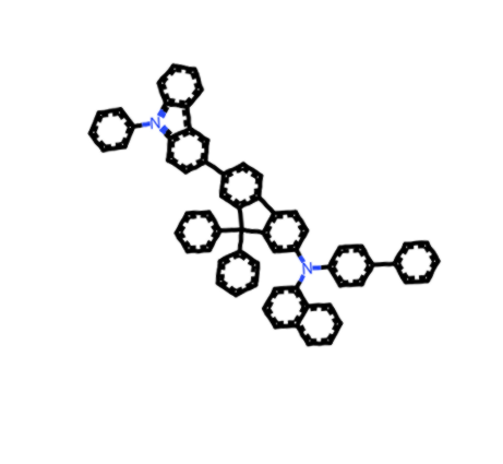 c1ccc(-c2ccc(N(c3ccc4c(c3)C(c3ccccc3)(c3ccccc3)c3cc(-c5ccc6c(c5)c5ccccc5n6-c5ccccc5)ccc3-4)c3cccc4ccccc34)cc2)cc1